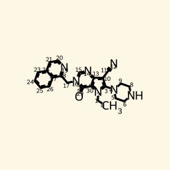 CCn1c(N2CCNCC2)c(C#N)c2ncn(Cc3nccc4ccccc34)c(=O)c21